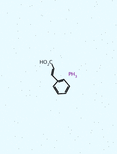 O=C(O)C=Cc1ccccc1.P